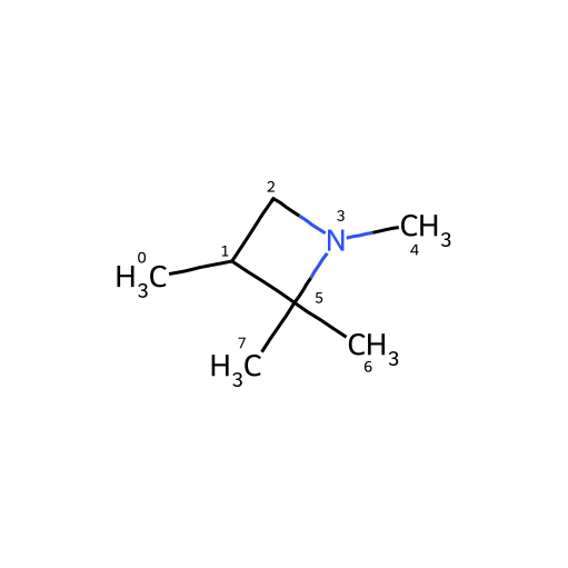 CC1CN(C)C1(C)C